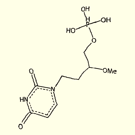 COC(CCn1ccc(=O)[nH]c1=O)CO[PH](O)(O)O